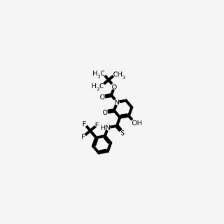 CC(C)(C)OC(=O)N1CCC(O)=C(C(=S)Nc2ccccc2C(F)(F)F)C1=O